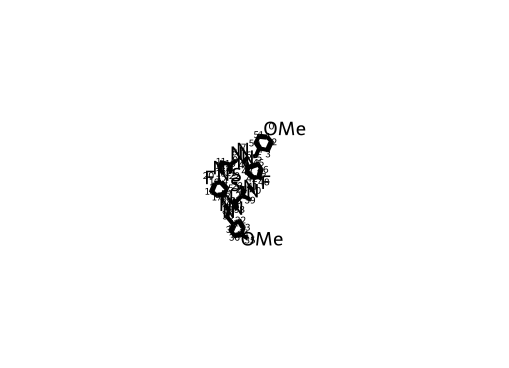 COc1ccc(Cn2nnc(-c3cnn(-c4ccccc4F)c3SSc3c(-c4nnn(Cc5ccc(OC)cc5)n4)cnn3-c3ccccc3F)n2)cc1